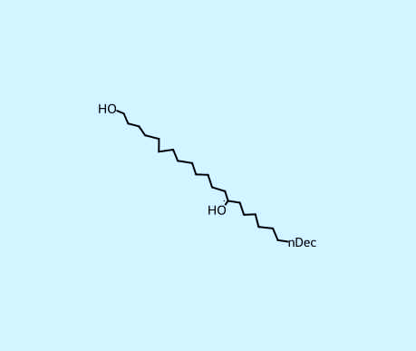 CCCCCCCCCCCCCCCC[C](O)CCCCCCCCCCCCCO